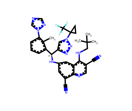 Cc1c([C@H](Nc2cc(C#N)c3ncc(C#N)c(NCC(C)(C)C)c3c2)c2cn(C3(C(F)(F)F)CC3)nn2)cccc1-n1cncn1